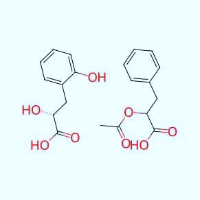 CC(=O)OC(Cc1ccccc1)C(=O)O.O=C(O)[C@H](O)Cc1ccccc1O